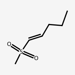 CCCC=CS(C)(=O)=O